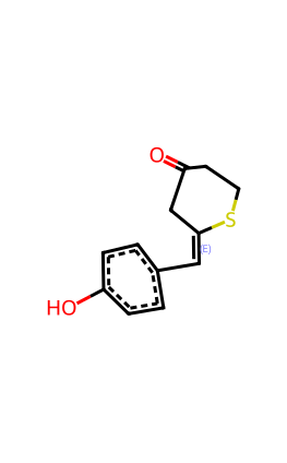 O=C1CCS/C(=C/c2ccc(O)cc2)C1